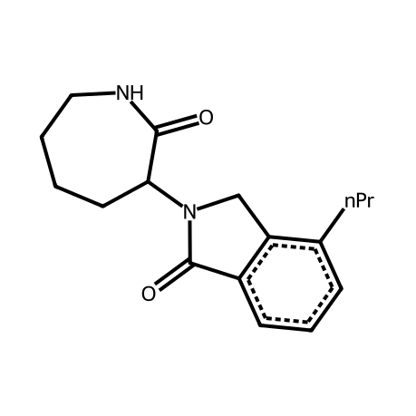 CCCc1cccc2c1CN(C1CCCCNC1=O)C2=O